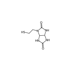 O=C1NC2NC(=O)N(CCS)C2N1